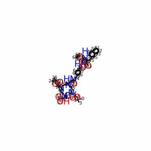 CC(C)(C)OC(=O)CN1CCN(CC(=O)O)CCN(CC(=O)OC(C)(C)C)CCN(CC(=O)NCc2ccc(CONC(=O)[C@@H](Cc3ccc4ccccc4c3)NC(=O)OC(C)(C)C)cc2)CC1